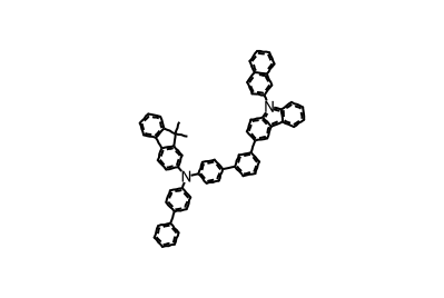 CC1(C)c2ccccc2-c2ccc(N(c3ccc(-c4ccccc4)cc3)c3ccc(-c4cccc(-c5ccc6c(c5)c5ccccc5n6-c5ccc6ccccc6c5)c4)cc3)cc21